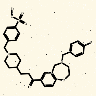 CCOS(=O)(=O)c1ccc(CN2CCC(CCC(=O)c3ccc4c(c3)CN(Cc3ccc(F)cc3)CCO4)CC2)cc1